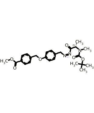 COC(=O)c1ccc(COc2ccc(C/N=N\C(=O)[C@H](C)N(C)C(=O)OC(C)(C)C)cc2)cc1